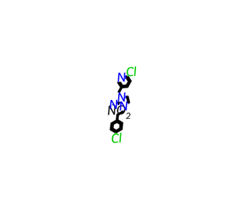 O=[N+]([O-])/N=C1\N(CCc2ccc(Cl)cc2)CCN1Cc1ccc(Cl)nc1